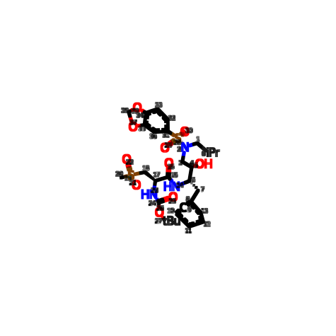 CC(C)CN(C[C@@H](O)[C@H](Cc1ccccc1)NC(=O)[C@H](CS(C)(=O)=O)NC(=O)OC(C)(C)C)S(=O)(=O)c1ccc2c(c1)OCO2